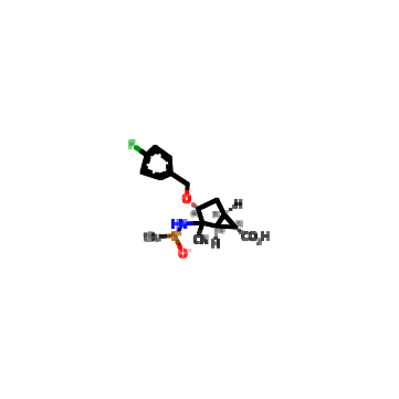 CC(C)(C)[S+]([O-])NC1(C#N)[C@H]2[C@@H](C[C@H]1OCc1ccc(F)cc1)[C@@H]2C(=O)O